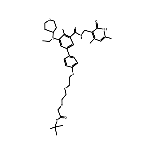 CCN(c1cc(-c2ccc(OCCOCCOCC(=O)OC(C)(C)C)cc2)cc(C(=O)NCc2c(C)cc(C)[nH]c2=O)c1C)C1CCOCC1